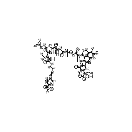 CC[C@@]1(O)C(=O)OCc2c1cc1n(c2=O)Cc2c-1nc1cc(F)c(C)c3c1c2[C@@H](NC(=O)COCNC(=O)CNC(=O)[C@H](CCCCN(C)C)NC(=O)[C@@H](NC(=O)CCCC#Cc1cnc(S(C)(=O)=O)nc1)C(C)C)CC3